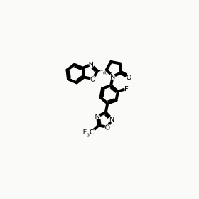 O=C1CC[C@@H](c2nc3ccccc3o2)N1c1ccc(-c2noc(C(F)(F)F)n2)cc1F